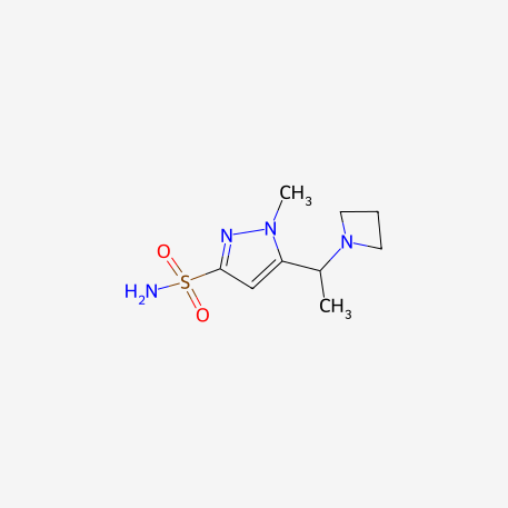 CC(c1cc(S(N)(=O)=O)nn1C)N1CCC1